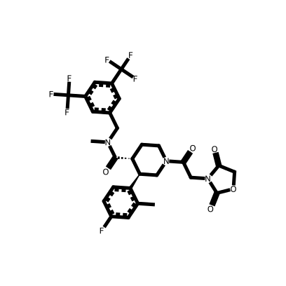 Cc1cc(F)ccc1[C@@H]1CN(C(=O)CN2C(=O)COC2=O)CC[C@H]1C(=O)N(C)Cc1cc(C(F)(F)F)cc(C(F)(F)F)c1